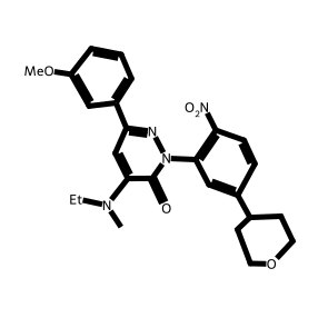 CCN(C)c1cc(-c2cccc(OC)c2)nn(-c2cc(C3CCOCC3)ccc2[N+](=O)[O-])c1=O